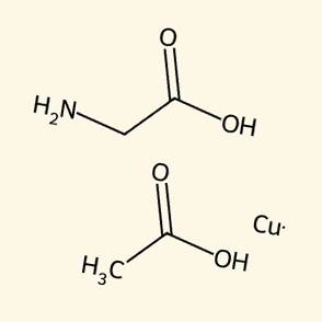 CC(=O)O.NCC(=O)O.[Cu]